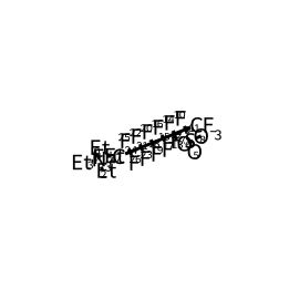 CC[N+](CC)(CC)CC.O=S(=O)([O-])C(F)(C(F)(F)F)C(F)(F)C(F)(F)C(F)(F)C(F)(F)C(F)(F)C(F)(F)F